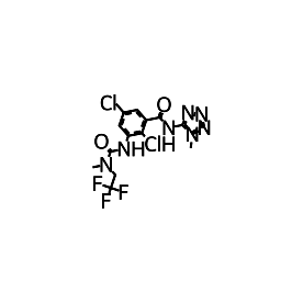 CN(CC(F)(F)F)C(=O)Nc1cc(Cl)cc(C(=O)Nc2nnnn2C)c1Cl